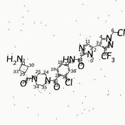 Cn1c(-c2cn(CC#N)nc2C(F)(F)F)cnc1C(=O)Nc1ccc(C(=O)N2CCN(C(=O)[C@H]3C[C@@H](N)C3)CC2)c(Cl)c1